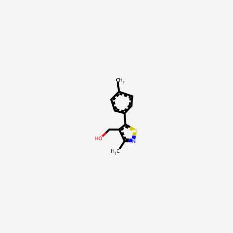 Cc1ccc(-c2snc(C)c2CO)cc1